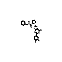 O=C(NCc1ccccc1)[C@H]1CCCN1c1nc2c(=O)[nH]c(-c3ccc(F)c(F)c3)nc2s1